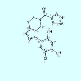 O=C(c1cn[nH]c1)N1CCc2noc(-c3cc(Cl)c(O)cc3O)c2C1